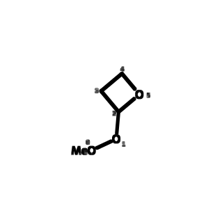 COOC1CCO1